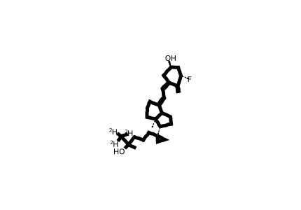 [2H]C([2H])([2H])C(C)(O)CCCC1([C@H]2CCC3/C(=C/C=C4/C[C@@H](O)C[C@H](F)C4=C)CCC[C@@]32C)CC1